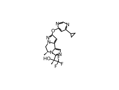 C[C@H]1Cn2nc(Oc3cc(C4CC4)ncn3)cc2-c2cnc([C@@](C)(O)C(F)(F)F)n21